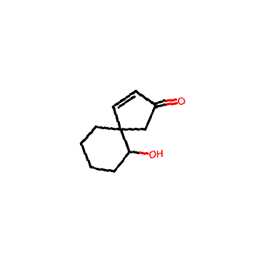 O=C1C=CC2(CCCCC2O)C1